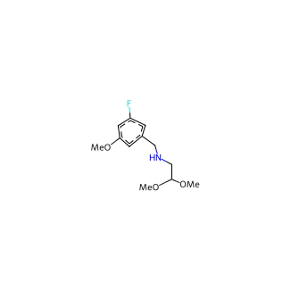 COc1cc(F)cc(CNCC(OC)OC)c1